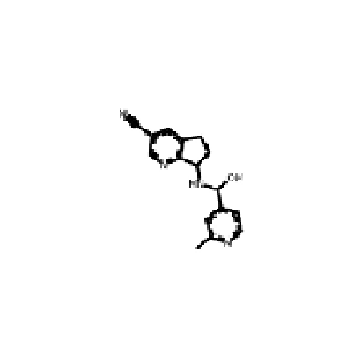 Cc1cc(C(O)NC2CCc3cc(C#N)cnc32)ccn1